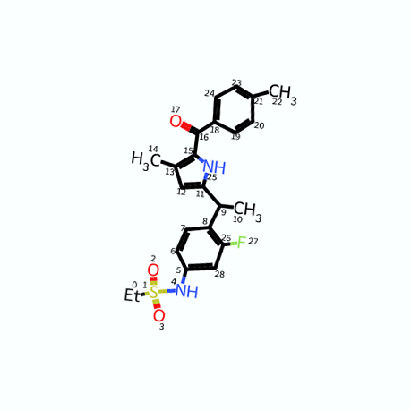 CCS(=O)(=O)Nc1ccc(C(C)c2cc(C)c(C(=O)c3ccc(C)cc3)[nH]2)c(F)c1